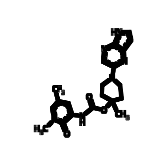 Cn1cc(C(F)(F)F)cc(NC(=O)OC2(C)CCN(c3cnc4[nH]ccc4n3)CC2)c1=O